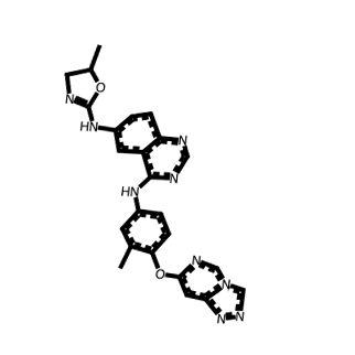 Cc1cc(Nc2ncnc3ccc(NC4=NCC(C)O4)cc23)ccc1Oc1cc2nncn2cn1